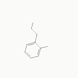 Bc1ccccc1CCC